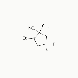 CCN1CC(F)(F)CC1(C)C#N